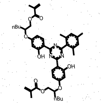 C=C(C)C(=O)OCC(CCCC)Oc1ccc(-c2nc(-c3ccc(OC(CCCC)COC(=O)C(=C)C)cc3O)nc(-c3c(C)cc(C)cc3C)n2)c(O)c1